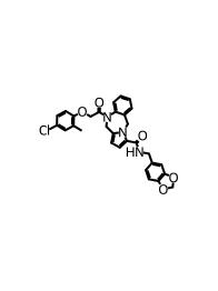 Cc1cc(Cl)ccc1OCC(=O)N1Cc2ccc(C(=O)NCc3ccc4c(c3)OCO4)n2Cc2ccccc21